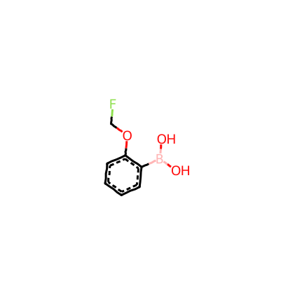 OB(O)c1ccccc1OCF